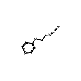 O=C=NCCSc1ccccc1